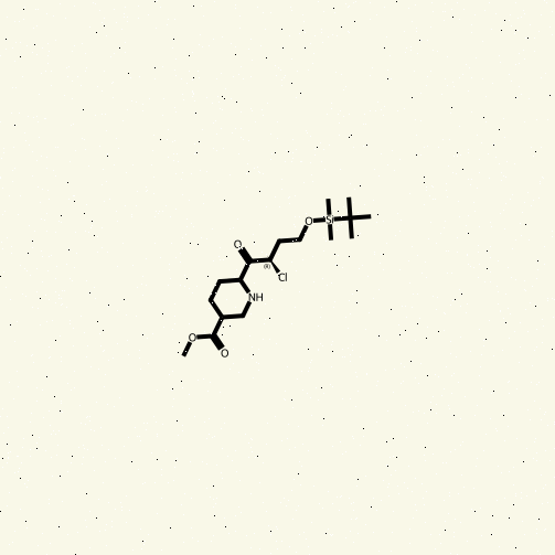 COC(=O)C1CCC(C(=O)[C@H](Cl)CCO[Si](C)(C)C(C)(C)C)NC1